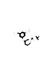 CC(C)(C)OC(=O)N1CCC[C@@H](Oc2cc(Cl)cc(Cl)c2)C1